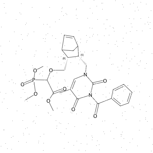 COC(=O)C(OC[C@@H]1C2C=CC(C2)[C@@H]1Cn1cc(C)c(=O)n(C(=O)c2ccccc2)c1=O)P(=O)(OC)OC